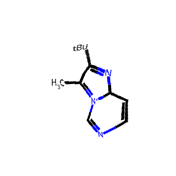 CC1=[N+]2C=NC=CC2N=C1C(C)(C)C